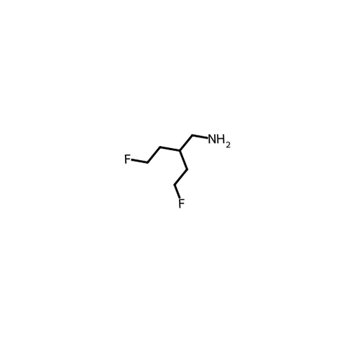 NCC(CCF)CCF